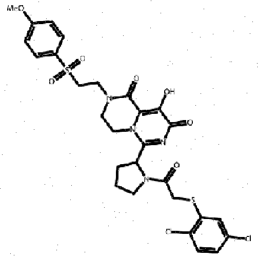 COc1ccc(S(=O)(=O)CCN2CCn3c(C4CCCN4C(=O)CSc4cc(Cl)ccc4Cl)nc(=O)c(O)c3C2=O)cc1